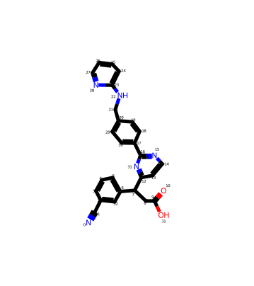 N#Cc1cccc(C(CC(=O)O)c2ccnc(-c3ccc(CNc4ccccn4)cc3)n2)c1